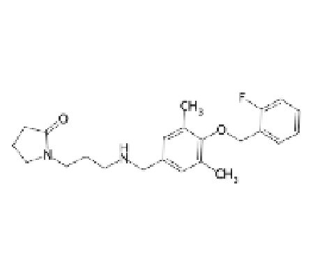 Cc1cc(CNCCCN2CCCC2=O)cc(C)c1OCc1ccccc1F